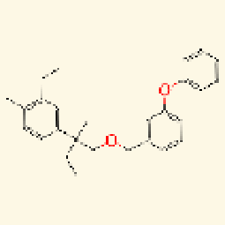 CCc1cc(C(C)(CC)COCc2cccc(Oc3ccccc3)c2)ccc1C